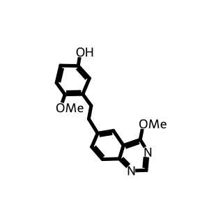 COc1ccc(O)cc1CCc1ccc2ncnc(OC)c2c1